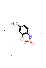 Cc1ccc(N=S(=O)=O)c(C(F)(F)F)c1